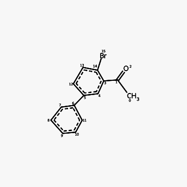 CC(=O)c1cc(-c2ccccc2)ccc1Br